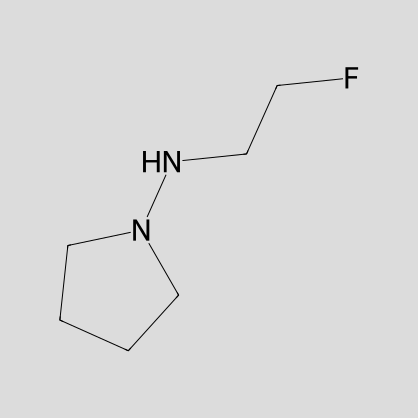 FCCNN1CCCC1